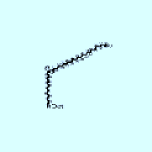 CCCCCCCCC=CCCCCCCCCCCCC(=O)OCCCCCCCCCCCCCCCCCCCCCC(C)CC